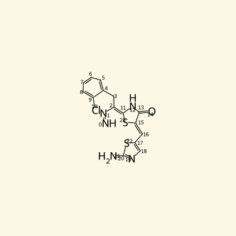 N=NC(Cc1ccccc1Cl)=c1[nH]c(=O)c(=Cc2cnc(N)s2)s1